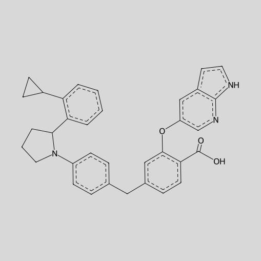 O=C(O)c1ccc(Cc2ccc(N3CCCC3c3ccccc3C3CC3)cc2)cc1Oc1cnc2[nH]ccc2c1